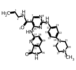 C=CCNC(=O)c1cnc(Nc2ccc(N3CCN(C)CC3)cc2)nc1Nc1ccc2c(n1)C(=O)NC2